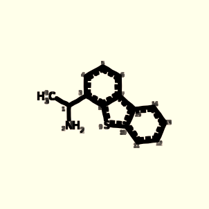 CC(N)c1cccc2c1sc1ccccc12